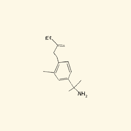 C=C(CC)Cc1ccc(C(C)(C)N)cc1C